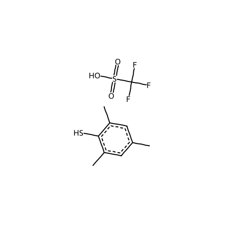 Cc1cc(C)c(S)c(C)c1.O=S(=O)(O)C(F)(F)F